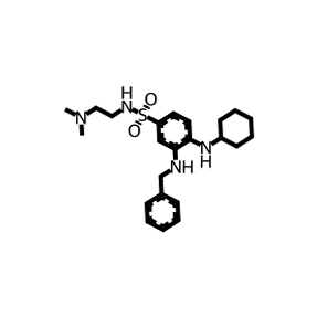 CN(C)CCNS(=O)(=O)c1ccc(NC2CCCCC2)c(NCc2ccccc2)c1